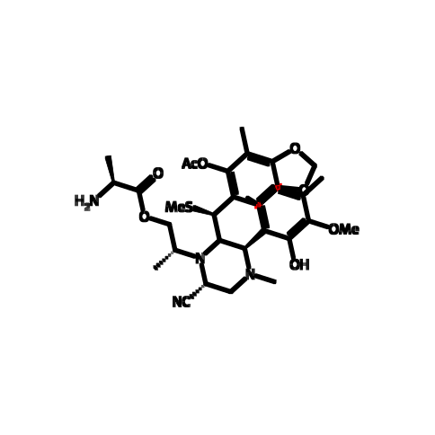 COc1c(C)cc(C)c([C@@H]2C([C@@H](SC)c3cc4c(c(C)c3OC(C)=O)OCO4)N([C@H](C)COC(=O)[C@H](C)N)[C@@H](C#N)CN2C)c1O